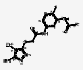 CCC(=O)Nc1cc(NC(=O)CSc2nnc(C(C)C)n2CC)ccc1C